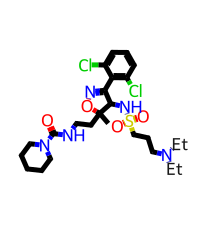 CCN(CC)CCCS(=O)(=O)NC1C(c2c(Cl)cccc2Cl)=NOC1(C)CCNC(=O)N1CCCCC1